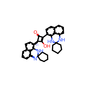 O=C1C(c2ccc3cccc4c3c2NC2(CCCCC2)N4)=C(O)/C1=c1/ccc2cccc3c2c1NC1(CCCCC1)N=3